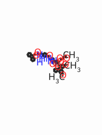 COc1ccc(C(OC[C@H]2O[C@@H](n3ccc(NC(=O)c4ccc(CNC(=O)OCC5c6ccccc6-c6ccccc65)cc4)nc3=O)CC2OC(=O)CCC(C)=O)(c2ccccc2)c2ccc(OC)cc2)cc1